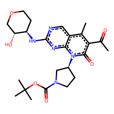 CC(=O)c1c(C)c2cnc(N[C@@H]3CCOC[C@H]3O)nc2n([C@H]2CCN(C(=O)OC(C)(C)C)C2)c1=O